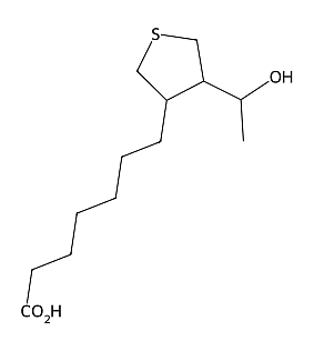 CC(O)C1CSCC1CCCCCCC(=O)O